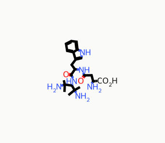 CC(C)(N)C(NC(=O)C(Cc1c[nH]c2ccccc12)NC(=O)CC(N)C(=O)O)C(C)(C)N